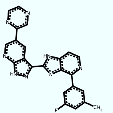 Cc1cc(F)cc(-c2nccc3[nH]c(-c4n[nH]c5ncc(-c6cnccn6)cc45)nc23)c1